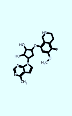 COc1cc(OC2CC(n3ccc4c(C)ncnc43)C(O)C2O)c2c(c1F)CCNC2